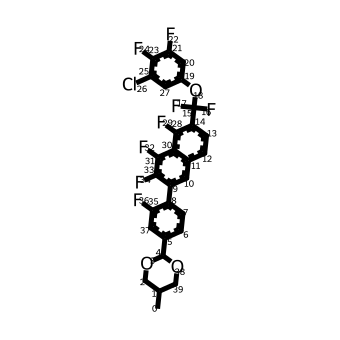 CC1COC(c2ccc(-c3cc4ccc(C(F)(F)Oc5cc(F)c(F)c(Cl)c5)c(F)c4c(F)c3F)c(F)c2)OC1